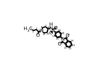 CCCC(=O)N1CCC(NS(=O)(=O)c2ccc(N3C(=O)c4ccccc4C3=O)cc2)CC1